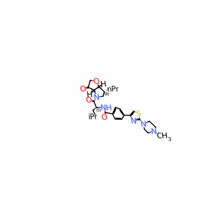 CCC[C@@H]1CN(C(=O)[C@H](CC(C)C)NC(=O)c2ccc(-c3csc(N4CCN(C)CC4)n3)cc2)[C@@H]2C(=O)CO[C@H]12